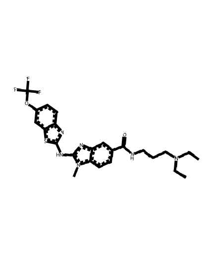 CCN(CC)CCCNC(=O)c1ccc2c(c1)nc(Nc1nc3ccc(OC(F)(F)F)cc3s1)n2C